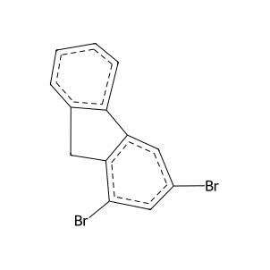 Brc1cc(Br)c2c(c1)-c1ccccc1C2